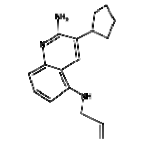 C=CCNc1cccc2nc(N)c(C3CCCC3)cc12